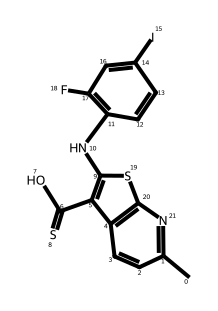 Cc1ccc2c(C(O)=S)c(Nc3ccc(I)cc3F)sc2n1